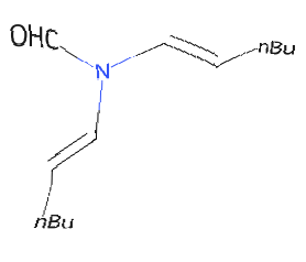 CCCCC=CN(C=O)C=CCCCC